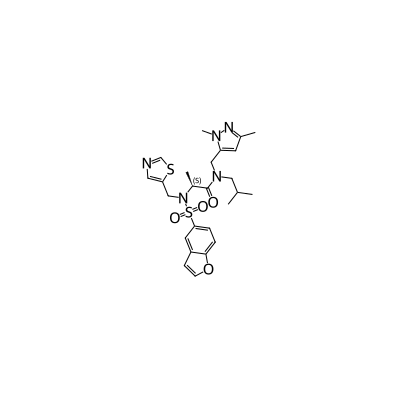 Cc1cc(CN(CC(C)C)C(=O)[C@H](C)N(Cc2cncs2)S(=O)(=O)c2ccc3occc3c2)n(C)n1